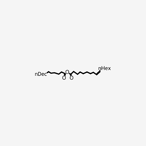 CCCCCC/C=C\CCCCCCCC(=O)OC(=O)CCCCCCCCCCCCCCC